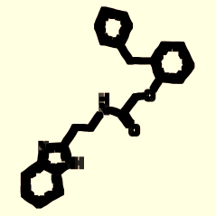 O=C(COc1ccccc1Cc1ccccc1)NCCc1nc2ccccc2[nH]1